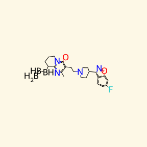 BBBC1CCCn2c1nc(C)c(CCN1CCC(c3noc4cc(F)ccc34)CC1)c2=O